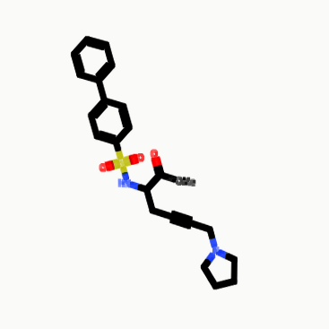 COC(=O)C(CC#CCN1CCCC1)NS(=O)(=O)c1ccc(-c2ccccc2)cc1